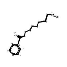 CCCCCCCCCCCCCCCCCC(=O)c1ccccc1